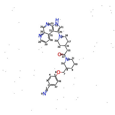 N#Cc1ccc(OCC2CCCN(C(=O)CC3CCN(c4c[nH]c5ncc6ncccc6c45)CC3)C2)cc1